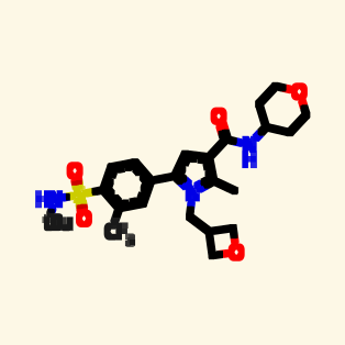 Cc1c(C(=O)NC2CCOCC2)cc(-c2ccc(S(=O)(=O)NC(C)(C)C)c(C(F)(F)F)c2)n1CC1COC1